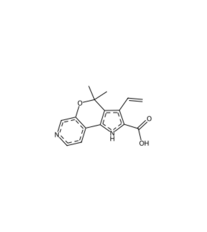 C=Cc1c(C(=O)O)[nH]c2c1C(C)(C)Oc1cnccc1-2